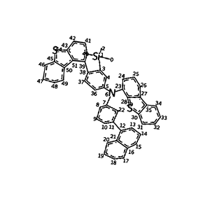 C[Si]1(C)c2cc(N(c3cccc(-c4cccc5ccccc45)c3)c3cccc4c3sc3ccccc34)ccc2-c2c1ccc1sc3ccccc3c21